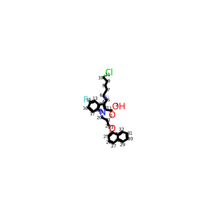 O=C(O)c1c(/C=C/CCCCCl)c2cc(F)ccc2n1CCCOc1cccc2ccccc12